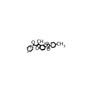 Cc1c(C(=O)N2CCSCC2)oc2ccc(S(=O)(=O)N3CCC(C)CC3)cc12